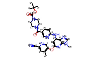 Cc1cc(C#N)ncc1Oc1cc(Nc2ccc(C(=O)N3CCN(C(=O)OC(C)(C)C)CC3)cn2)c2ncn(C)c2n1